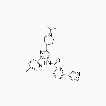 Cc1ccc(-n2nc(C3CCN(C(C)C)CC3)cc2NC(=O)c2cccc(-c3cnoc3)n2)nc1